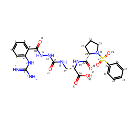 N=C(N)Nc1ccccc1C(=O)NNC(=O)NC[C@H](NC(=O)[C@@H]1CCCN1S(=O)(=O)c1ccccc1)C(=O)O